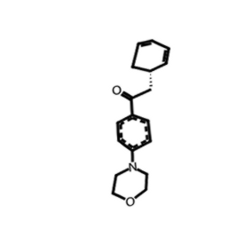 O=C(C[C@H]1C=CC=CC1)c1ccc(N2CCOCC2)cc1